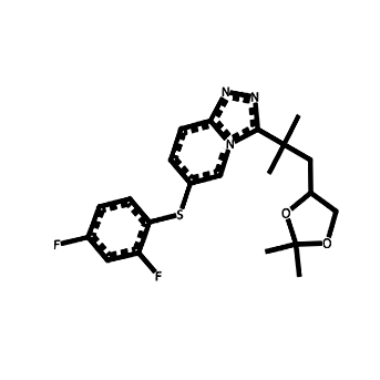 CC1(C)OCC(CC(C)(C)c2nnc3ccc(Sc4ccc(F)cc4F)cn23)O1